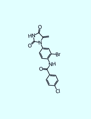 C=C1C(=O)NC(=O)N1c1ccc(NC(=O)c2ccc(Cl)cc2)c(Br)c1